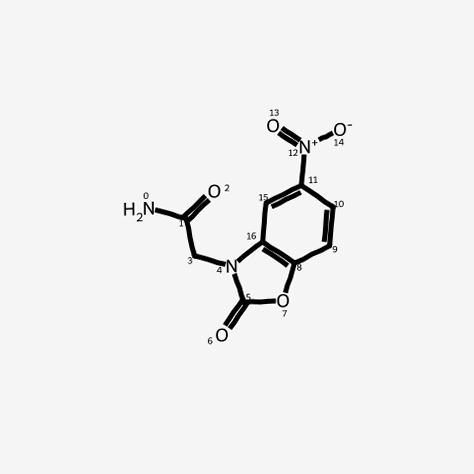 NC(=O)Cn1c(=O)oc2ccc([N+](=O)[O-])cc21